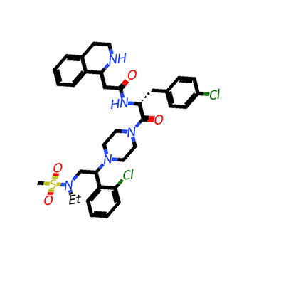 CCN(CC(c1ccccc1Cl)N1CCN(C(=O)[C@@H](Cc2ccc(Cl)cc2)NC(=O)CC2NCCc3ccccc32)CC1)S(C)(=O)=O